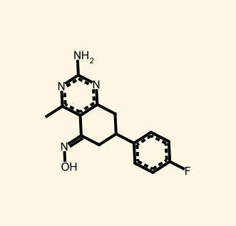 Cc1nc(N)nc2c1/C(=N/O)CC(c1ccc(F)cc1)C2